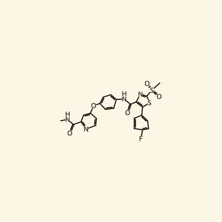 CNC(=O)c1cc(Oc2ccc(NC(=O)c3nc(S(C)(=O)=O)sc3-c3ccc(F)cc3)cc2)ccn1